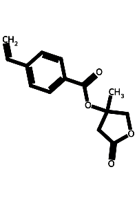 C=Cc1ccc(C(=O)OC2(C)COC(=O)C2)cc1